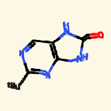 CC(C)(C)c1ncc2[nH]c(=O)[nH]c2n1